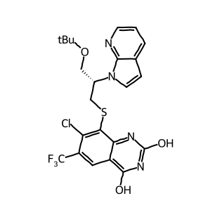 CC(C)(C)OC[C@@H](CSc1c(Cl)c(C(F)(F)F)cc2c(O)nc(O)nc12)n1ccc2cccnc21